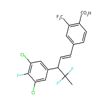 CC(F)(F)C(C=Cc1ccc(C(=O)O)c(C(F)(F)F)c1)c1cc(Cl)c(F)c(Cl)c1